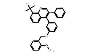 COc1ccccc1COc1cccc(-c2c(-c3ccccc3)cnc3c(C(F)(F)F)cccc23)c1